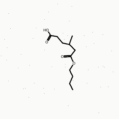 CCCCOC(=O)CC(C)CCC(=O)O